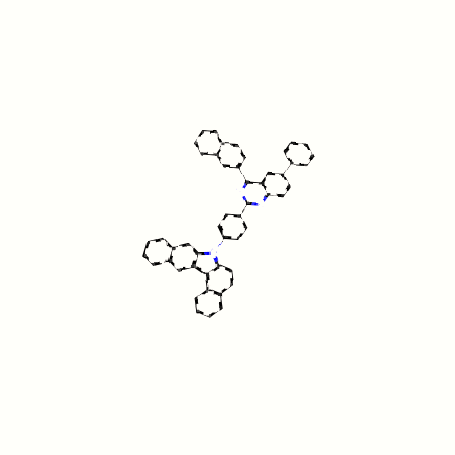 c1ccc(-c2ccc3nc(-c4ccc(-n5c6cc7ccccc7cc6c6c7ccccc7ccc65)cc4)nc(-c4ccc5ccccc5c4)c3c2)cc1